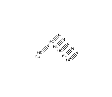 C#N.C#N.C#N.C#N.C#N.C#N.[Ru]